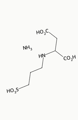 N.O=C(O)CC(NCCCS(=O)(=O)O)C(=O)O